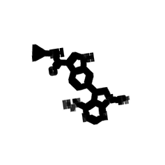 CC(C)n1cc(-c2ccc3c(C(=O)NC4CC4)c[nH]c3c2)c2c(N)ncnc21